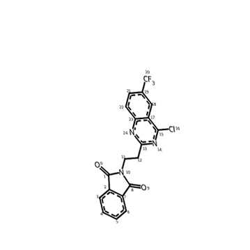 O=C1c2ccccc2C(=O)N1CCc1nc(Cl)c2cc(C(F)(F)F)ccc2n1